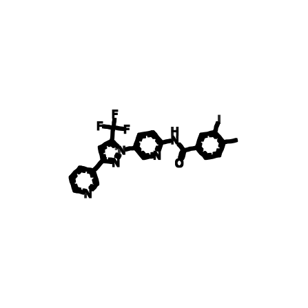 Cc1ccc(C(=O)Nc2ccc(-n3nc(-c4cccnc4)cc3C(F)(F)F)cn2)cc1I